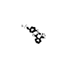 C=Cc1ccc(ON(C)C(=O)c2ccccc2C=O)cc1